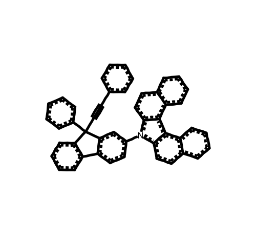 C(#CC1(c2ccccc2)c2ccccc2-c2ccc(-n3c4ccc5ccccc5c4c4c5ccccc5ccc43)cc21)c1ccccc1